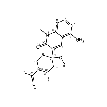 CO[C@]1(c2cc3c(N)ncnc3n(C)c2=O)CCN(C(C)=O)[C@@H](C)C1